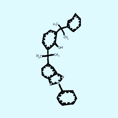 CC(C)(c1ccccc1)c1cccc(C(C)(C)c2ccc3nn(-c4ccccc4)nc3c2)c1O